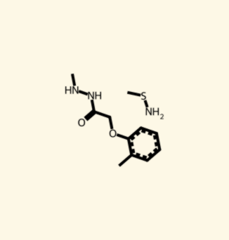 CNNC(=O)COc1ccccc1C.CSN